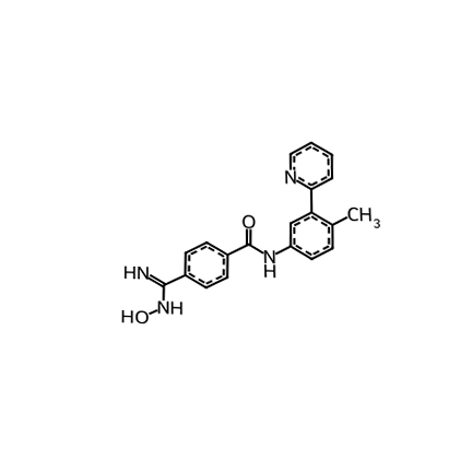 Cc1ccc(NC(=O)c2ccc(C(=N)NO)cc2)cc1-c1ccccn1